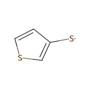 [S]c1ccsc1